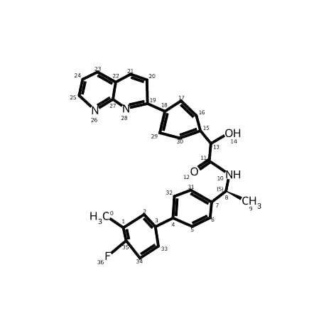 Cc1cc(-c2ccc([C@H](C)NC(=O)C(O)c3ccc(-c4ccc5cccnc5n4)cc3)cc2)ccc1F